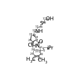 CC(C)CCC1(CNC(=O)c2cc(CNCCSCCO)ccc2Cl)CCCC(C)C(C)C1